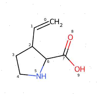 C=CC1CCNC1C(=O)O